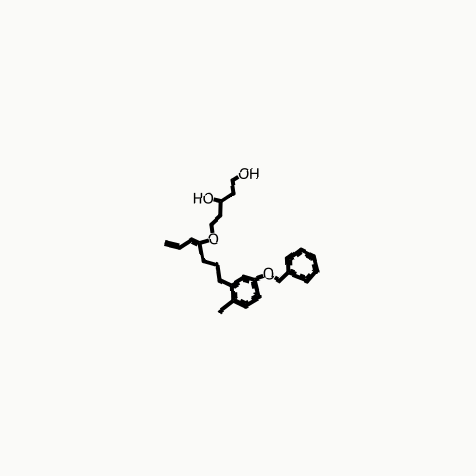 C=C/C=C(\CCCc1cc(OCc2ccccc2)ccc1C)OCCC(O)CCO